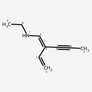 C=C/C(C#CC)=C\NCC